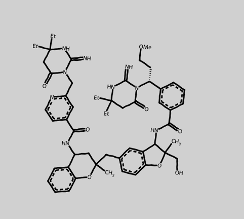 CCC1(CC)CC(=O)N(Cc2cc(C(=O)NC3CC(C)(Cc4ccc5c(c4)C(NC(=O)c4cccc([C@@H](CCOC)N6C(=N)NC(CC)(CC)CC6=O)c4)C(C)(CO)O5)Oc4ccccc43)ccn2)C(=N)N1